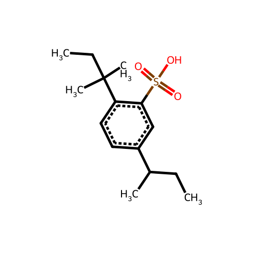 CCC(C)c1ccc(C(C)(C)CC)c(S(=O)(=O)O)c1